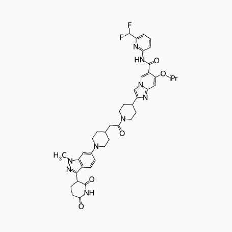 CC(C)Oc1cc2nc(C3CCN(C(=O)CC4CCN(c5ccc6c(C7CCC(=O)NC7=O)nn(C)c6c5)CC4)CC3)cn2cc1C(=O)Nc1cccc(C(F)F)n1